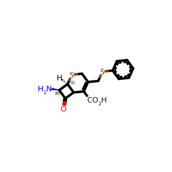 N[C@@H]1C(=O)C2C(C(=O)O)=C(CSc3ccccc3)CS[C@@H]21